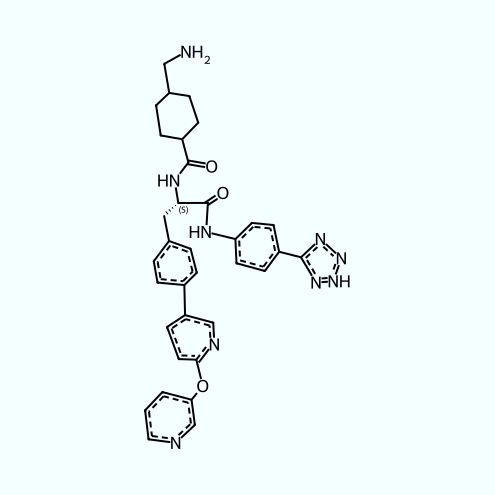 NCC1CCC(C(=O)N[C@@H](Cc2ccc(-c3ccc(Oc4cccnc4)nc3)cc2)C(=O)Nc2ccc(-c3nn[nH]n3)cc2)CC1